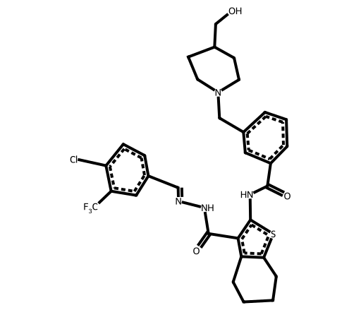 O=C(Nc1sc2c(c1C(=O)N/N=C/c1ccc(Cl)c(C(F)(F)F)c1)CCCC2)c1cccc(CN2CCC(CO)CC2)c1